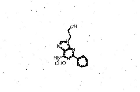 O=CNc1nc(-c2ccccc2)nc2c1ncn2CCO